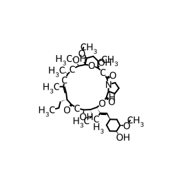 CCC[C@@H]1/C=C(\C)C[C@H](C)C[C@H](OC)[C@H]2O[C@@](O)(CC(=O)N3CCC[C@H]3C(=O)O[C@H](/C(C)=C/[C@@H]3CC[C@@H](O)[C@H](OC)C3)[C@H](CC)[C@@H](O)CC1=O)[C@H](C)C[C@@H]2OC